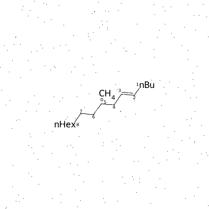 C.CCCCC=CCCCCCCCCCC